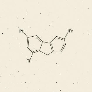 CC(C)c1ccc2c(c1)-c1cc(C(C)C)c[c]([Ti])c1C2